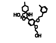 Cc1cccc(CCOc2cc(C(=O)NC3(C(=O)O)CCC(C)CC3)ccc2OCCO)c1